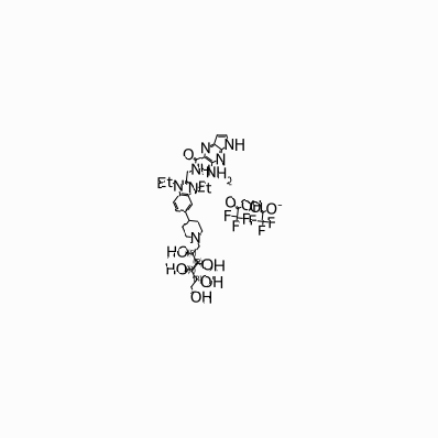 CCn1c(CNC(=O)c2nc3cc[nH]c3nc2N)[n+](CC)c2ccc(C3CCN(C[C@H](O)[C@@H](O)[C@H](O)[C@H](O)CO)CC3)cc21.O=C(O)C(F)(F)F.O=C([O-])C(F)(F)F